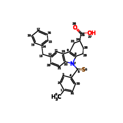 Cc1ccc(C(=S)n2c3c(c4cc(Cc5ccccc5)ccc42)CC(C(=O)O)CC3)cc1